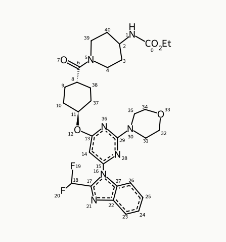 CCOC(=O)NC1CCN(C(=O)[C@H]2CC[C@H](Oc3cc(-n4c(C(F)F)nc5ccccc54)nc(N4CCOCC4)n3)CC2)CC1